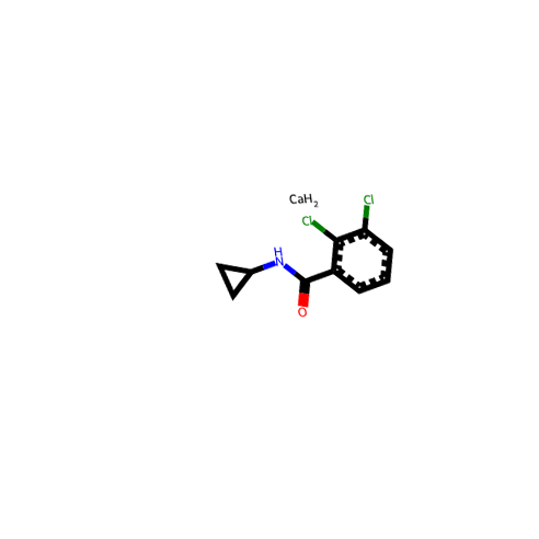 O=C(NC1CC1)c1cccc(Cl)c1Cl.[CaH2]